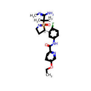 CCOc1ccc(C(=O)Nc2ccc(F)c([C@@H]3CCN=S3(=O)C(C)(C)/C(N)=N\C)c2)nc1